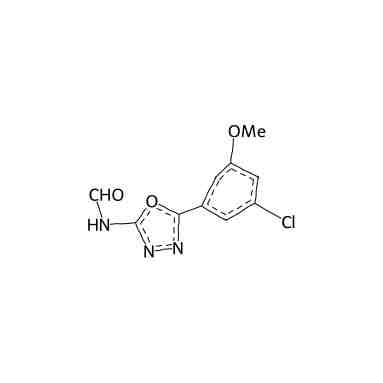 COc1cc(Cl)cc(-c2nnc(NC=O)o2)c1